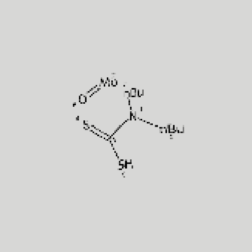 CCCCN(CCCC)C(=S)S.[O]=[Mo]